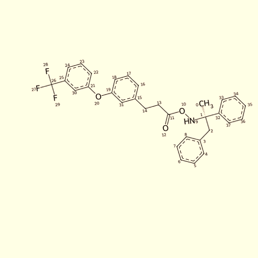 C[C@](Cc1ccccc1)(NOC(=O)CCc1cccc(Oc2cccc(C(F)(F)F)c2)c1)c1ccccc1